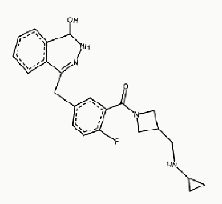 O=C(c1cc(CC2=NNC(O)c3ccccc32)ccc1F)N1CC(CNC2CC2)C1